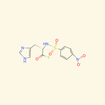 O=C(F)[C@H](Cc1c[nH]cn1)NS(=O)(=O)c1ccc([N+](=O)[O-])cc1